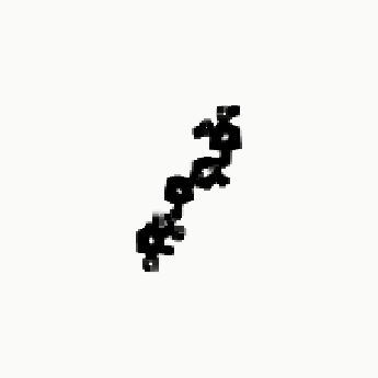 COc1ccc(CN2CCN(c3cccc(CNC(=O)c4cccc(Cl)c4C)c3)CC2C)cc1OC